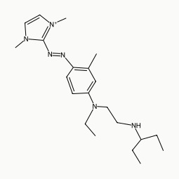 CCC(CC)NCCN(CC)c1ccc(N=Nc2n(C)cc[n+]2C)c(C)c1